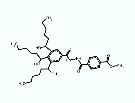 CCCCCC(O)c1cc(C(=O)NNC(=O)c2ccc(C(=O)OC)cc2)cc(C(O)CCCCC)c1C(O)CCCCC